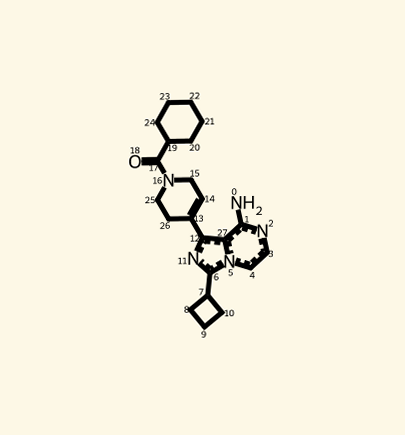 Nc1nccn2c(C3CCC3)nc(C3=CCN(C(=O)C4CCCCC4)CC3)c12